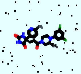 C[C@H]1CN(C(=O)CC[C@@]2(c3ccc(C(F)(F)F)nc3)NC(=O)NC2=O)CCN1c1cc(F)cc(F)c1